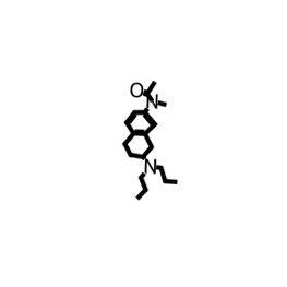 CCCN(CCC)C1CCc2ccc(N(C)C(C)=O)cc2C1